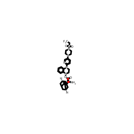 NC(=O)C12CC3C[C@H](C1)C(NC(=O)ON1CCN(c4ccc(N5CCN(S(=O)(=O)CC(F)(F)F)CC5)cn4)c4ccccc41)[C@@H](C3)C2